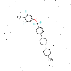 CCC[C@H]1CC[C@H](C2CCC(c3ccc(C(F)(F)Oc4cc(F)c(C(F)(F)F)c(F)c4)cc3)CC2)CC1